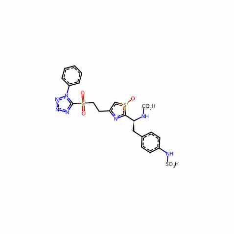 O=C(O)N[C@@H](Cc1ccc(NS(=O)(=O)O)cc1)c1nc(CCS(=O)(=O)c2nnnn2-c2ccccc2)c[s+]1[O-]